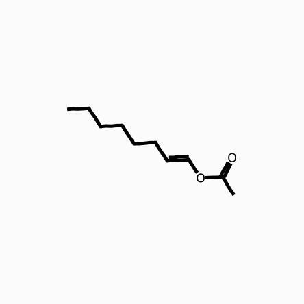 CCCCCCC=COC(C)=O